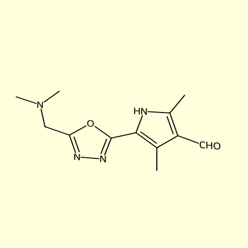 Cc1[nH]c(-c2nnc(CN(C)C)o2)c(C)c1C=O